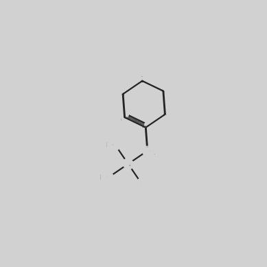 CC(C)(C)[Si](C)(C)OC1=CCCCC1